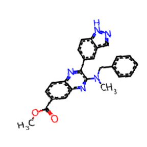 COC(=O)c1ccc2nc(-c3ccc4[nH]ncc4c3)c(N(C)Cc3ccccc3)nc2c1